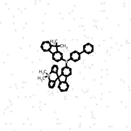 CC1(C)c2ccccc2-c2ccc(N(c3ccc(-c4ccccc4)cc3)c3ccc4c(c3)C3(c5ccccc5-4)c4ccccc4[Si](C)(C)c4ccccc43)cc21